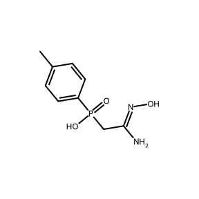 Cc1ccc(P(=O)(O)CC(N)=NO)cc1